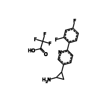 NC1CC1c1ccc(-c2ccc(F)cc2F)nc1.O=C(O)C(F)(F)F